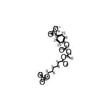 CC(OC(=O)CCCCCO[N+](=O)[O-])OC(=O)Oc1ccc([N+](=O)[O-])cc1